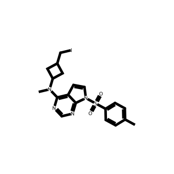 Cc1ccc(S(=O)(=O)n2ccc3c(N(C)C4CC(CI)C4)ncnc32)cc1